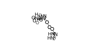 COC(=O)N[C@H](C(=O)N1CCC[C@H]1c1ncc(-c2ccc(-c3ccc4cc(-c5cnc([C@@H]6CCCN6)[nH]5)ccc4c3)cc2)[nH]1)C1CCCC1